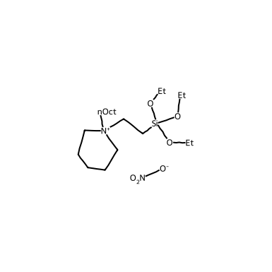 CCCCCCCC[N+]1(CC[Si](OCC)(OCC)OCC)CCCCC1.O=[N+]([O-])[O-]